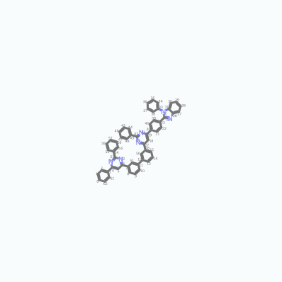 c1ccc(-c2cc(-c3cccc(-c4cccc(-c5cc(-c6ccc(-c7nc8ccccc8n7-c7ccccc7)cc6)nc(-c6ccccc6)n5)c4)c3)nc(-c3ccccc3)n2)cc1